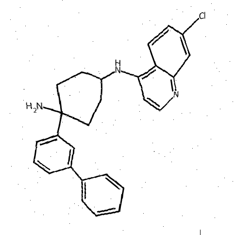 NC1(c2cccc(-c3ccccc3)c2)CCC(Nc2ccnc3cc(Cl)ccc23)CC1